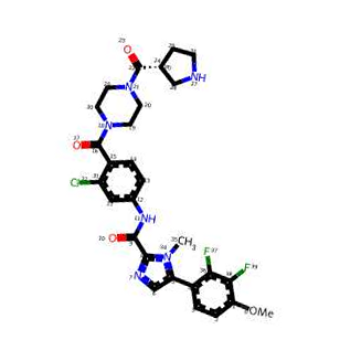 COc1ccc(-c2cnc(C(=O)Nc3ccc(C(=O)N4CCN(C(=O)[C@@H]5CCNC5)CC4)c(Cl)c3)n2C)c(F)c1F